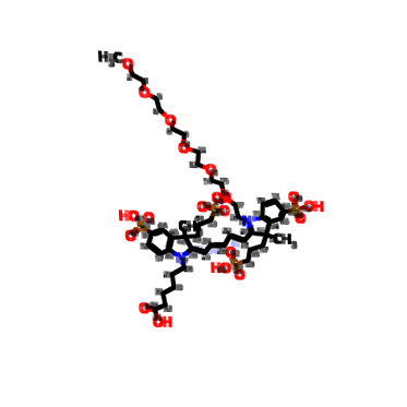 COCCOCCOCCOCCOCCOCC[N+]1=C(/C=C/C=C/C=C2/N(CCCCCC(=O)O)c3ccc(S(=O)(=O)O)cc3C2(C)CCCS(=O)(=O)O)C(C)(CCCS(=O)(=O)O)c2cc(S(=O)(=O)O)ccc21